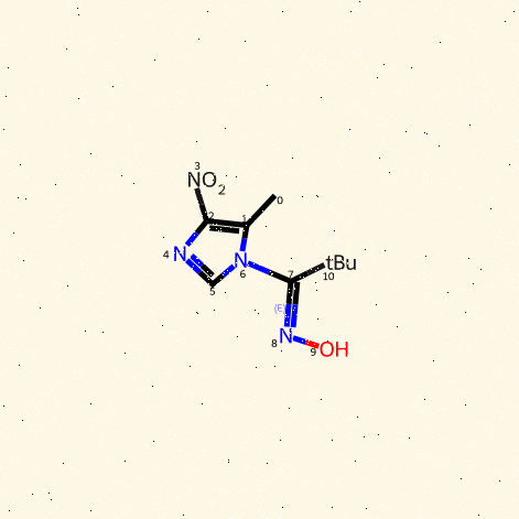 Cc1c([N+](=O)[O-])ncn1/C(=N/O)C(C)(C)C